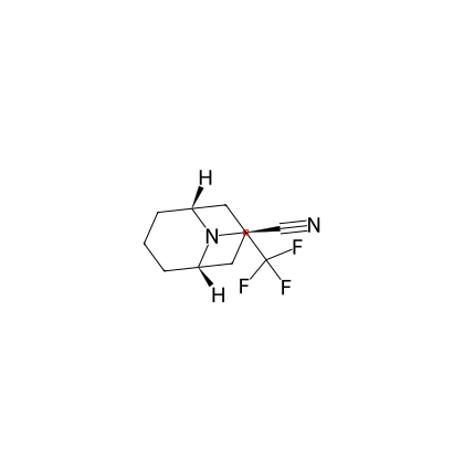 N#C[C@@H]1C[C@H]2CCC[C@@H](C1)N2CC(F)(F)F